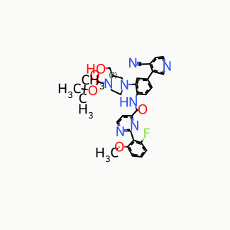 COc1cccc(F)c1-c1nccc(C(=O)Nc2ccc(-c3cnccc3C#N)cc2N2CCN(C(=O)OC(C)(C)C)[C@@H](CO)C2)n1